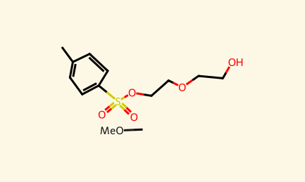 COC.Cc1ccc(S(=O)(=O)OCCOCCO)cc1